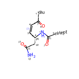 CCCCCCCC(=O)N[C@@H](/C=C\C(=O)C(C)(C)C)CC(N)=O